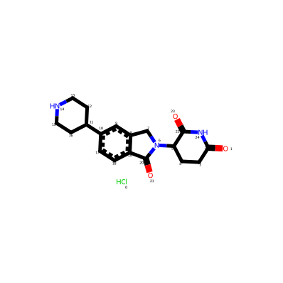 Cl.O=C1CCC(N2Cc3cc(C4CCNCC4)ccc3C2=O)C(=O)N1